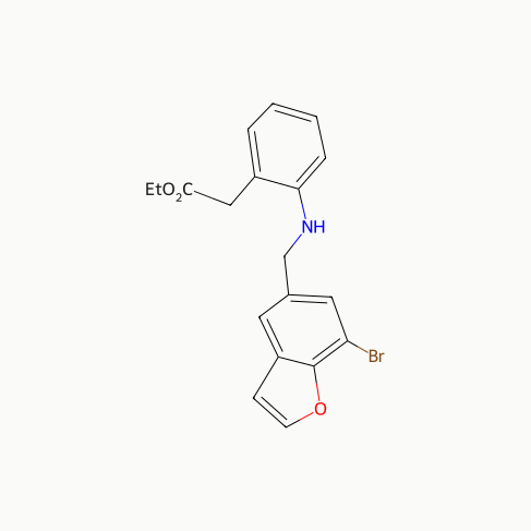 CCOC(=O)Cc1ccccc1NCc1cc(Br)c2occc2c1